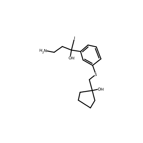 NCCC(O)(I)c1cccc(SCC2(O)CCCC2)c1